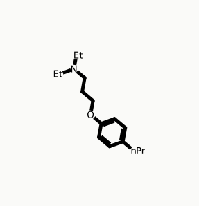 CCCc1ccc(OCCCN(CC)CC)cc1